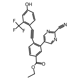 CCOC(=O)c1ccc(C#Cc2ccc(O)cc2C(F)(F)F)c(-c2cnc(C#N)nc2)c1